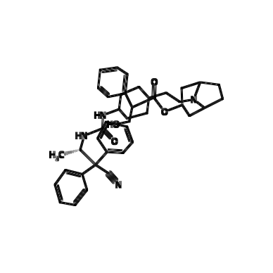 C[C@H](NC(=O)NC1CCC(CCN2C3CCC2CC(OC(=O)C(CO)c2ccccc2)C3)CC1)C(C#N)(c1ccccc1)c1ccccc1